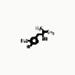 CC(C)=C(S)Cc1ccc(Br)c(C)c1